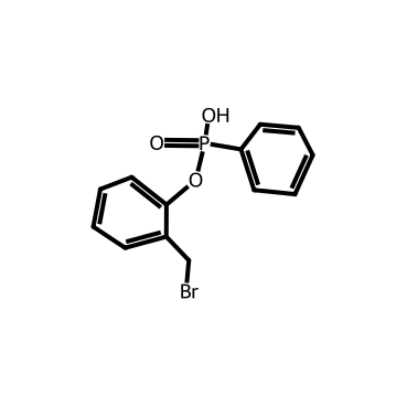 O=P(O)(Oc1ccccc1CBr)c1ccccc1